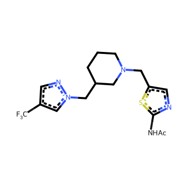 CC(=O)Nc1ncc(CN2CCCC(Cn3cc(C(F)(F)F)cn3)C2)s1